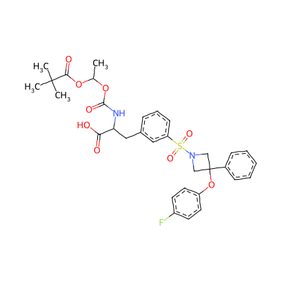 CC(OC(=O)NC(Cc1cccc(S(=O)(=O)N2CC(Oc3ccc(F)cc3)(c3ccccc3)C2)c1)C(=O)O)OC(=O)C(C)(C)C